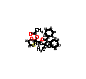 CC(=O)OC1(CO[Si](c2ccccc2)(c2ccccc2)C(C)(C)C)OCCS1